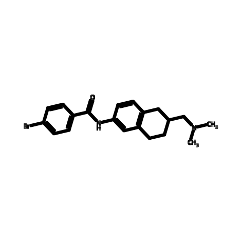 CN(C)CC1CCc2cc(NC(=O)c3ccc(Br)cc3)ccc2C1